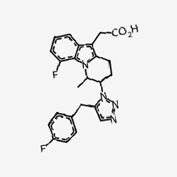 CC1C(n2nncc2Cc2ccc(F)cc2)CCc2c(CC(=O)O)c3cccc(F)c3n21